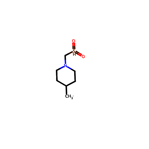 [CH2]C1CCN(C[SH](=O)=O)CC1